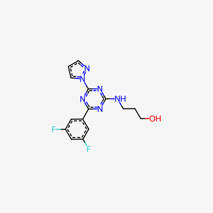 OCCCNc1nc(-c2cc(F)cc(F)c2)nc(-n2cccn2)n1